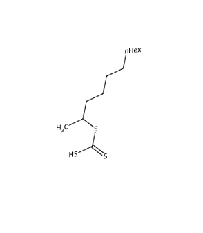 CCCCCCCCCCC(C)SC(=S)S